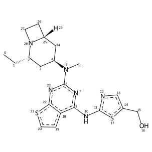 CC[C@H]1C[C@H](N(C)c2nc(Nc3ncc(CO)s3)c3ccsc3n2)C[C@H]2CCN21